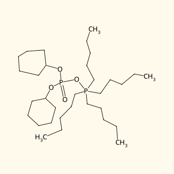 CCCCCP(CCCCC)(CCCCC)(CCCCC)OP(=O)(OC1CCCCC1)OC1CCCCC1